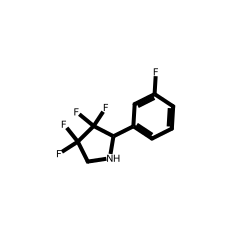 Fc1cccc(C2NCC(F)(F)C2(F)F)c1